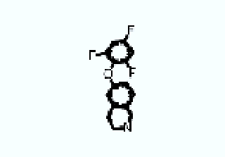 Fc1cc(F)c(Oc2ccc3c(c2)CC[N]C3)c(F)c1